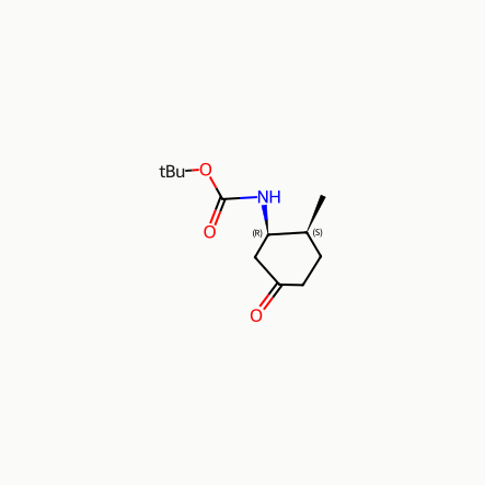 C[C@H]1CCC(=O)C[C@H]1NC(=O)OC(C)(C)C